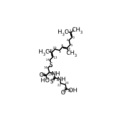 CC(C)=CCCC(C)=CCCC(C)=CCSCC(NC(=S)NCCC(=O)O)C(=O)O